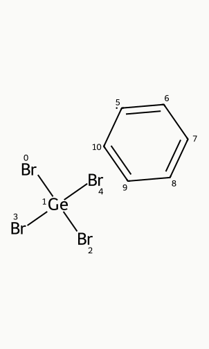 [Br][Ge]([Br])([Br])[Br].[c]1ccccc1